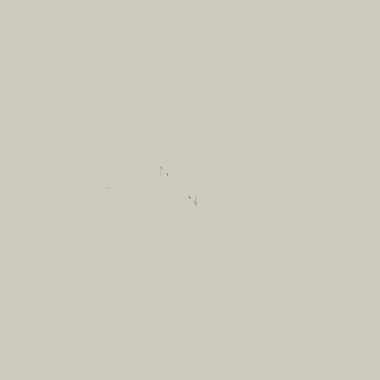 F[C@@H]1CCCN(c2nc3cc(Cl)ccc3o2)C1